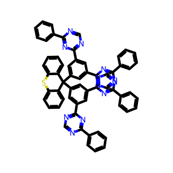 c1ccc(-c2ncnc(-c3cc(-c4ncnc(-c5ccccc5)n4)cc(C4(c5cc(-c6ncnc(-c7ccccc7)n6)cc(-c6ncnc(-c7ccccc7)n6)c5)c5ccccc5Sc5ccccc54)c3)n2)cc1